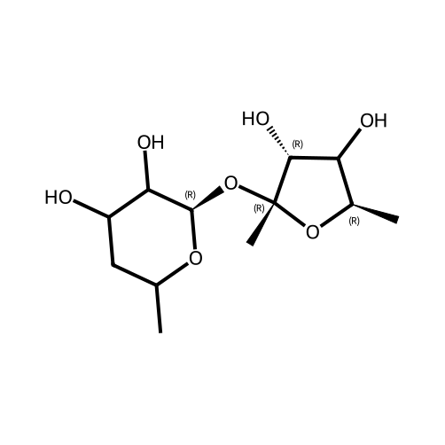 CC1CC(O)C(O)[C@@H](O[C@@]2(C)O[C@H](C)C(O)[C@H]2O)O1